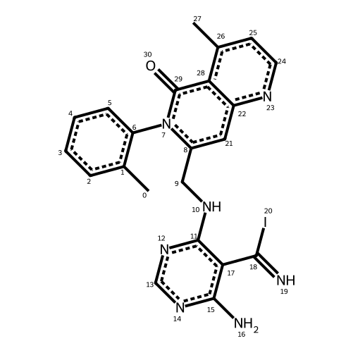 Cc1ccccc1-n1c(CNc2ncnc(N)c2C(=N)I)cc2nccc(C)c2c1=O